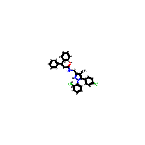 N#Cc1c(CNC(=O)CC(c2ccccc2)c2ccccc2)nn(-c2ccccc2Cl)c1-c1ccc(Cl)cc1